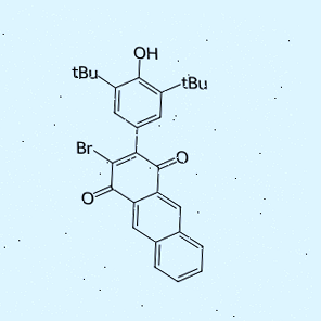 CC(C)(C)c1cc(C2=C(Br)C(=O)c3cc4ccccc4cc3C2=O)cc(C(C)(C)C)c1O